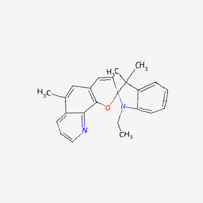 CCN1c2ccccc2C(C)(C)C12C=Cc1cc(C)c3cccnc3c1O2